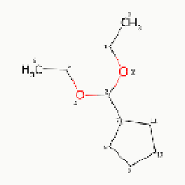 CCOC(OCC)[C]1CCCC1